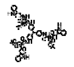 Cc1[nH]c2ccccc2c1CC(=O)N[C@](C)(CC(=O)OC(C)(C)C)C(=O)Nc1ccc(C(c2ccc(NC(=O)[C@@](C)(CC(=O)OC(C)(C)C)NC(=O)Cc3c(C)[nH]c4ccccc34)cc2)c2ccc(NC(=O)[C@@](C)(CC(=O)OC(C)(C)C)NC(=O)Cc3c(C)[nH]c4ccccc34)cc2)cc1